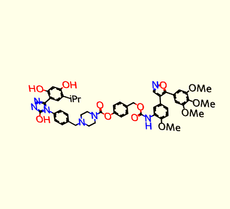 COc1ccc(-c2cnoc2-c2cc(OC)c(OC)c(OC)c2)cc1NC(=O)OCc1ccc(OC(=O)N2CCN(Cc3ccc(-n4c(O)nnc4-c4cc(C(C)C)c(O)cc4O)cc3)CC2)cc1